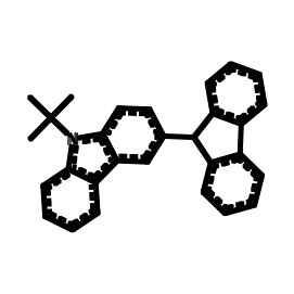 CC(C)(C)n1c2ccccc2c2cc(C3c4ccccc4-c4ccccc43)ccc21